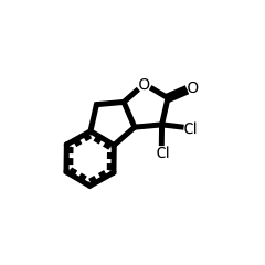 O=C1OC2Cc3ccccc3C2C1(Cl)Cl